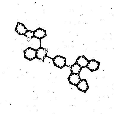 c1ccc2c(c1)ccc1c2c2c3ccccc3ccc2n1-c1ccc(-c2nc(-c3cccc4c3oc3ccccc34)c3ccccc3n2)cc1